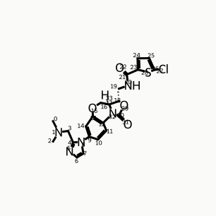 CN(C)Cc1nccn1-c1ccc2c(c1)OC[C@H]1[C@H](CNC(=O)c3ccc(Cl)s3)OC(=O)N21